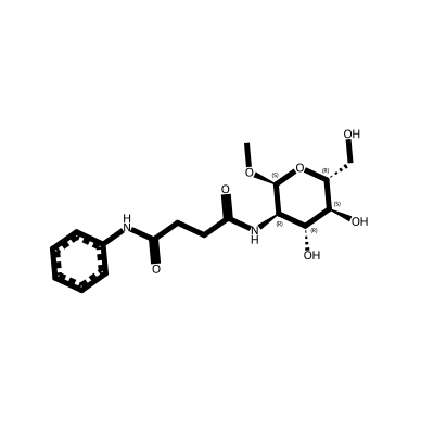 CO[C@H]1O[C@H](CO)[C@@H](O)[C@H](O)[C@H]1NC(=O)CCC(=O)Nc1ccccc1